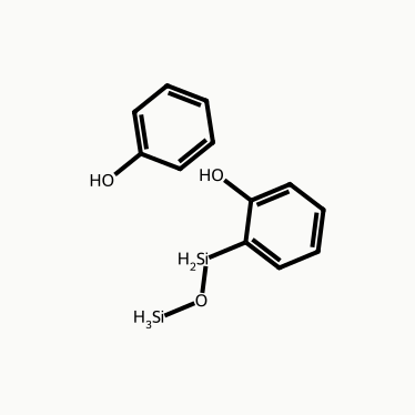 Oc1ccccc1.Oc1ccccc1[SiH2]O[SiH3]